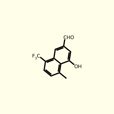 Cc1ccc(C(F)(F)F)c2cc(C=O)cc(O)c12